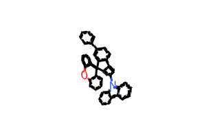 c1ccc(-c2ccc3c(c2)C2(c4ccccc4Oc4ccccc42)c2cc(-n4c5ccccc5c5ccccc54)ccc2-3)cc1